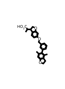 Cc1cc2c(c(C)c1-c1cccc(COc3ccc4c(c3)OCC4C(C)C(=O)O)c1)CCO2